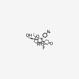 CCC(=O)[C@@]1(C#CCO)CC[C@H]2[C@@H]3CC(F)C4=CC(=O)CCC4=C3[C@@H](c3ccc(N(C)C)cc3)C[C@@]21C